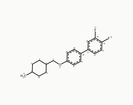 CC1CCC(COc2ccc(-c3ccc(F)c(F)c3)cc2)CC1